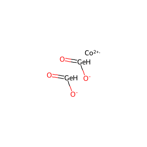 [Co+2].[O]=[GeH][O-].[O]=[GeH][O-]